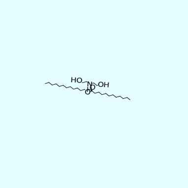 CCCCCCCCCCCCOC(=O)CCCCCCCCCCC.OCCNCCO